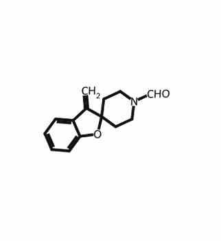 C=C1c2ccccc2OC12CCN(C=O)CC2